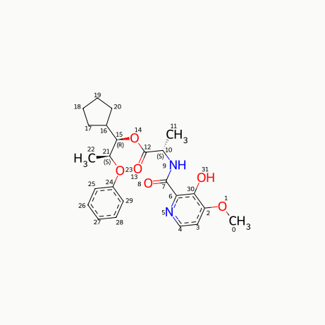 COc1ccnc(C(=O)N[C@@H](C)C(=O)O[C@H](C2CCCC2)[C@H](C)Oc2ccccc2)c1O